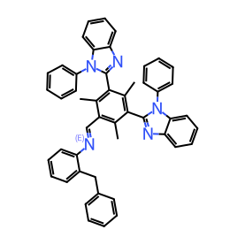 Cc1c(/C=N/c2ccccc2Cc2ccccc2)c(C)c(-c2nc3ccccc3n2-c2ccccc2)c(C)c1-c1nc2ccccc2n1-c1ccccc1